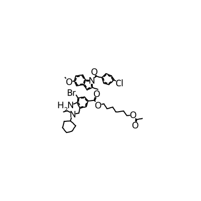 CCN(Cc1cc(C(=O)OCCCCCCOC(C)=O)cc(Br)c1N)C1CCCCC1.COc1ccc2c(c1)cc(C)n2C(=O)c1ccc(Cl)cc1